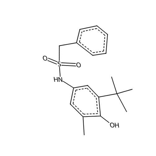 Cc1cc(NS(=O)(=O)Cc2ccccc2)cc(C(C)(C)C)c1O